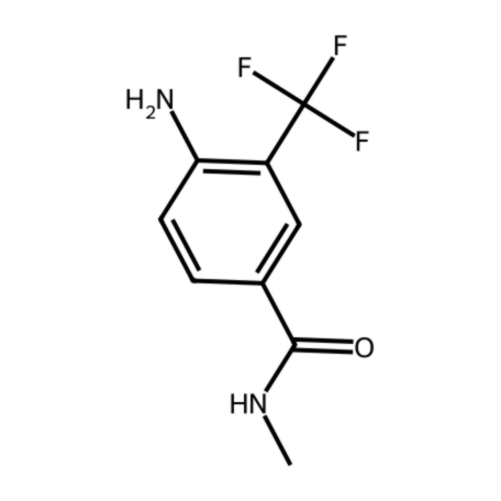 CNC(=O)c1ccc(N)c(C(F)(F)F)c1